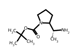 C[C@@H](N)C1CCCN1C(=O)OC(C)(C)C